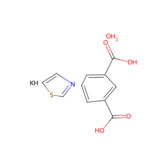 O.O=C(O)c1cccc(C(=O)O)c1.[KH].c1cscn1